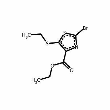 CCOC(=O)c1nc(Br)sc1SCC